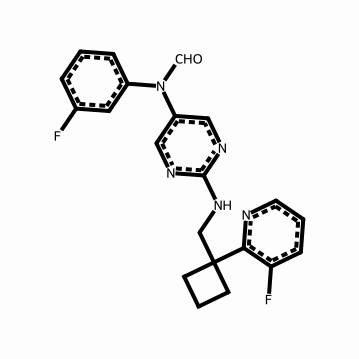 O=CN(c1cnc(NCC2(c3ncccc3F)CCC2)nc1)c1cccc(F)c1